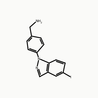 NCc1ccc(-n2ncc3cc(I)ccc32)cc1